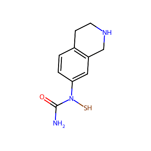 NC(=O)N(S)c1ccc2c(c1)CNCC2